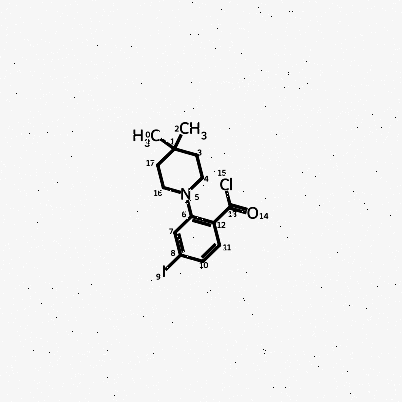 CC1(C)CCN(c2cc(I)ccc2C(=O)Cl)CC1